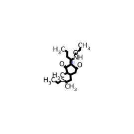 CCC/C(NOCC)=C1/C(=O)CC(CC(C)SCC)C(C)C1=O